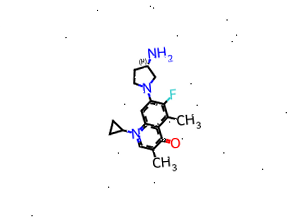 Cc1cn(C2CC2)c2cc(N3CC[C@@H](N)C3)c(F)c(C)c2c1=O